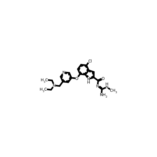 CCN(CC)Cc1cncc(Oc2ccc(Cl)c3cc(C(=O)N=C(N)NC)[nH]c23)c1